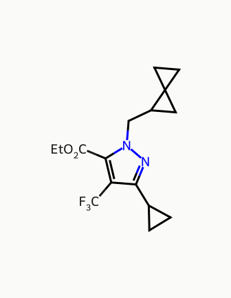 CCOC(=O)c1c(C(F)(F)F)c(C2CC2)nn1CC1CC12CC2